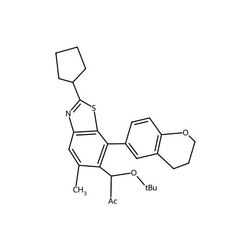 CC(=O)C(OC(C)(C)C)c1c(C)cc2nc(C3CCCC3)sc2c1-c1ccc2c(c1)CCCO2